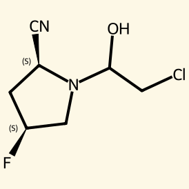 N#C[C@@H]1C[C@H](F)CN1C(O)CCl